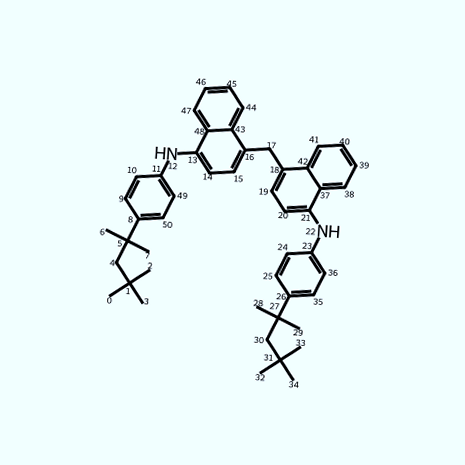 CC(C)(C)CC(C)(C)c1ccc(Nc2ccc(Cc3ccc(Nc4ccc(C(C)(C)CC(C)(C)C)cc4)c4ccccc34)c3ccccc23)cc1